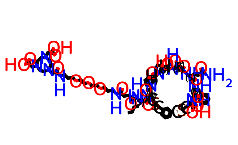 CCCC[C@H](NC(=O)CCC(=O)NCCCOCCOCCOCCCNC(=O)CN1CCN(CC(=O)O)CCN(CC(=O)O)CC1)C(=O)N[C@H]1CSCc2cccc(c2)CSCC(C(=O)O)NC(=O)[C@H](Cc2ccccc2)NC(=O)[C@H](CCC(N)=O)NC(=O)[C@H]([C@@H](C)O)NC(=O)[C@@H]2CCCN2C(=O)[C@@H]2CCCN2C1=O